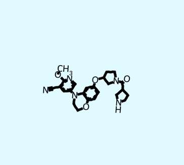 COc1ncc(N2CCOc3ccc(OC4CCN(C(=O)C5CCNC5)C4)cc32)cc1C#N